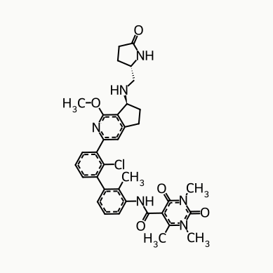 COc1nc(-c2cccc(-c3cccc(NC(=O)c4c(C)n(C)c(=O)n(C)c4=O)c3C)c2Cl)cc2c1[C@@H](NC[C@@H]1CCC(=O)N1)CC2